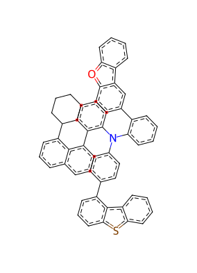 c1ccc(N(c2ccc(-c3cccc4sc5ccccc5c34)cc2)c2ccccc2-c2cccc3cccc(C4CCCCC4)c23)c(-c2ccc3oc4ccccc4c3c2)c1